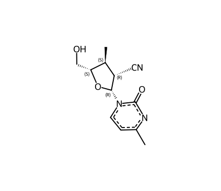 Cc1ccn([C@@H]2O[C@H](CO)[C@@H](C)[C@@H]2C#N)c(=O)n1